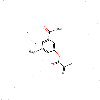 C=C(C)C(=O)Oc1cc(C(=O)O)cc(C(=O)OC)c1